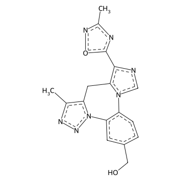 Cc1noc(-c2ncn3c2Cc2c(C)nnn2-c2cc(CO)ccc2-3)n1